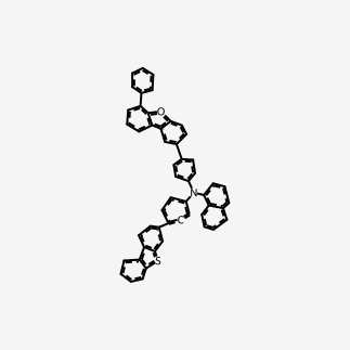 c1ccc(-c2cccc3c2oc2ccc(-c4ccc(N(c5ccc(-c6ccc7c(c6)sc6ccccc67)cc5)c5cccc6ccccc56)cc4)cc23)cc1